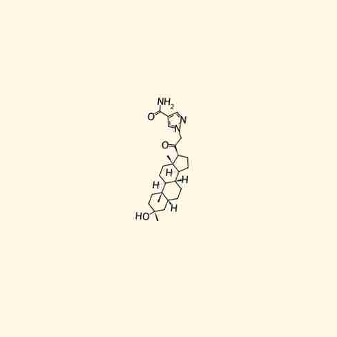 C[C@@]1(O)CC[C@@]2(C)[C@H](CC[C@@H]3[C@@H]2CC[C@]2(C)[C@@H](C(=O)Cn4cc(C(N)=O)cn4)CC[C@@H]32)C1